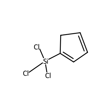 Cl[Si](Cl)(Cl)C1=CC=CC1